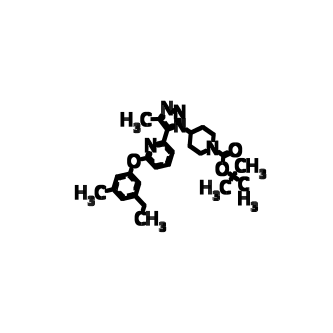 CCc1cc(C)cc(Oc2cccc(-c3c(C)nnn3C3CCN(C(=O)OC(C)(C)C)CC3)n2)c1